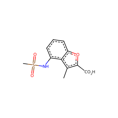 Cc1c(C(=O)O)oc2cccc(NS(C)(=O)=O)c12